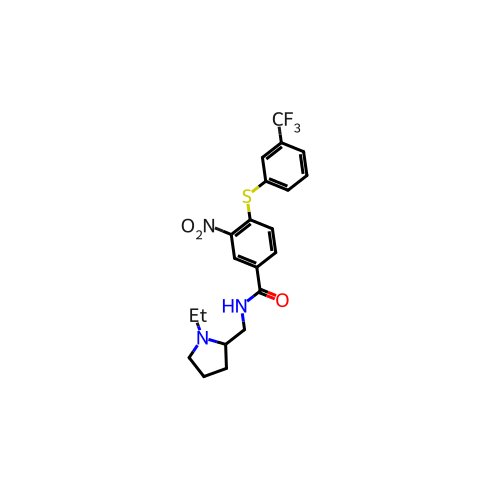 CCN1CCCC1CNC(=O)c1ccc(Sc2cccc(C(F)(F)F)c2)c([N+](=O)[O-])c1